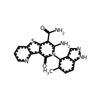 Cc1ccc2[nH]ncc2c1-n1c(N)c(C(N)=O)c2sc3cccnc3c2c1=O